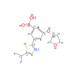 CC(C)c1cnc(-c2cc(O[C@@H]3CCOC3)cc(C(=O)O)c2)s1